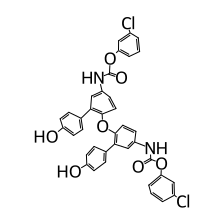 O=C(Nc1ccc(Oc2ccc(NC(=O)Oc3cccc(Cl)c3)cc2-c2ccc(O)cc2)c(-c2ccc(O)cc2)c1)Oc1cccc(Cl)c1